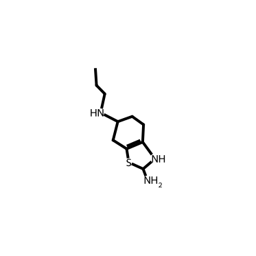 CCCNC1CCC2=C(C1)SC(N)N2